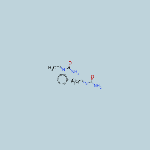 CC=NC(N)=O.CC=NC(N)=O.Cc1ccccc1